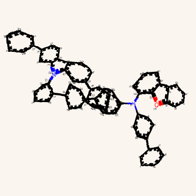 c1ccc(-c2ccc(N(c3ccc(-c4ccc(-c5ccccc5-n5c6cc(-c7ccccc7)ccc6c6ccc(-c7ccccc7)cc65)cc4)cc3)c3cccc4c3oc3ccccc34)cc2)cc1